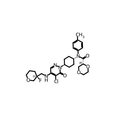 Cc1ccc(N(C(=O)[C@H]2COCCO2)[C@H]2CC[C@H](n3ncc(NC[C@@]4(F)CCCOC4)c(Cl)c3=O)CC2)cc1